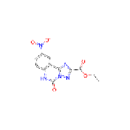 CCOC(=O)c1nc2c3cc([N+](=O)[O-])ccc3[nH]c(=O)n2n1